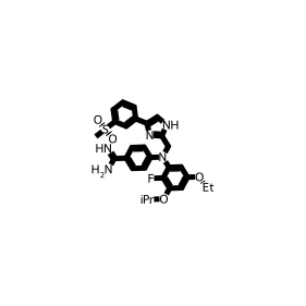 CCOc1cc(OC(C)C)c(F)c(N(Cc2nc(-c3cccc(S(C)(=O)=O)c3)c[nH]2)c2ccc(C(=N)N)cc2)c1